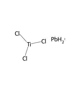 [Cl][Ti]([Cl])[Cl].[PbH2]